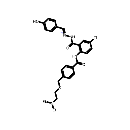 CCN(CC)CCSCc1ccc(C(=O)Nc2ccc(Cl)cc2C(=O)N/N=C/c2ccc(O)cc2)cc1